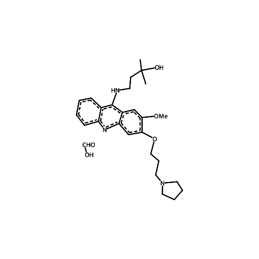 COc1cc2c(NCCC(C)(C)O)c3ccccc3nc2cc1OCCCN1CCCC1.O=CO